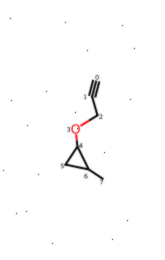 C#CCOC1CC1C